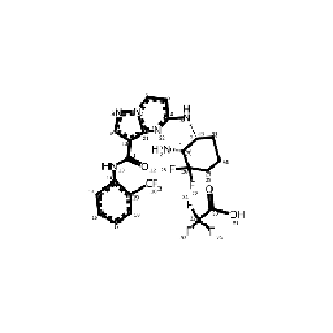 N[C@@H]1[C@H](Nc2ccn3ncc(C(=O)Nc4ccccc4C(F)(F)F)c3n2)CCCC1(F)F.O=C(O)C(F)(F)F